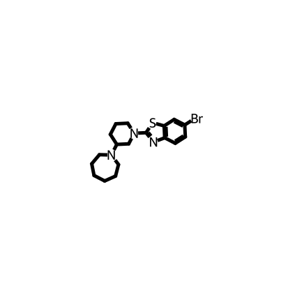 Brc1ccc2nc(N3CCCC(N4CCCCCC4)C3)sc2c1